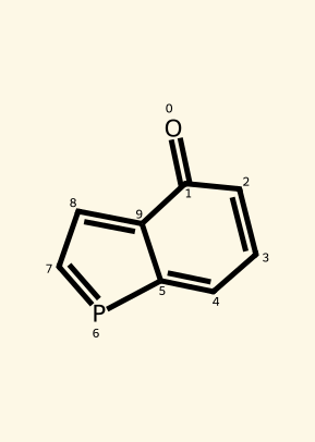 O=C1C=CC=C2P=CC=C12